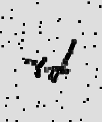 O=C([O-])[O-].O=C([O-])[O-].O=[Si]=O.O=[Si]=O.[K+].[K+].[Li+].[Li+]